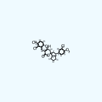 COc1ccc(CCC2(C3CCCC3)CC(O)=C(Sc3cccc(Cl)c3Cl)C(=O)O2)cc1Cl